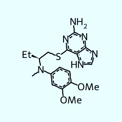 CC[C@@H](CSc1nc(N)nc2nc[nH]c12)N(C)c1ccc(OC)c(OC)c1